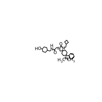 CN(C)C1(c2ccccc2)CCC2(CC1)CN(CC(=O)NCC1CCC(O)CC1)C(=O)N2CC1CCC1